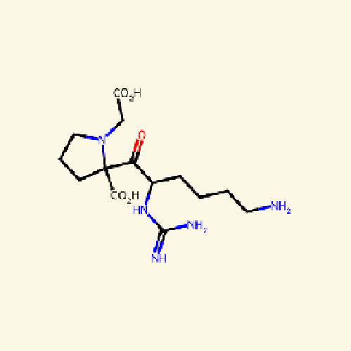 N=C(N)NC(CCCCN)C(=O)C1(C(=O)O)CCCN1CC(=O)O